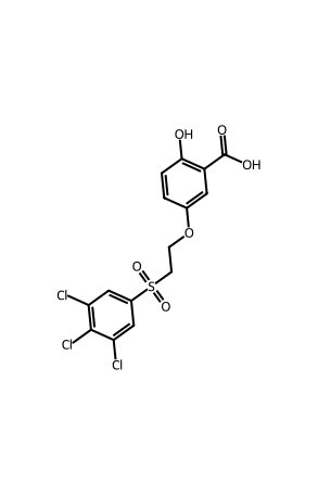 O=C(O)c1cc(OCCS(=O)(=O)c2cc(Cl)c(Cl)c(Cl)c2)ccc1O